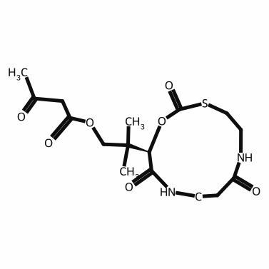 CC(=O)CC(=O)OCC(C)(C)[C@H]1OC(=O)SCCNC(=O)CCNC1=O